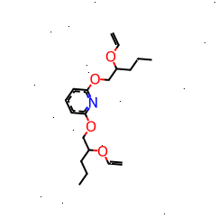 C=COC(CCC)COc1cccc(OCC(CCC)OC=C)n1